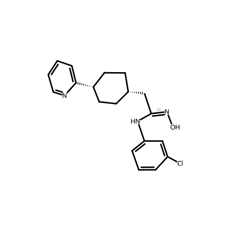 O/N=C(/C[C@H]1CC[C@@H](c2ccccn2)CC1)Nc1cccc(Cl)c1